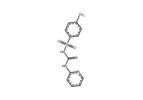 Cc1ccc(S(=O)(=O)NC(=S)Nc2ccccn2)cc1